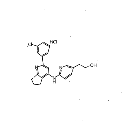 Cl.OCCc1ccc(Nc2cc(-c3cccc(Cl)c3)nc3c2CCC3)nc1